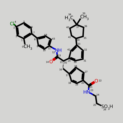 Cc1cc(Cl)ccc1-c1ccc(NC(=O)[C@@H](Cc2ccc(C(=O)NCCS(=O)(=O)O)cc2)c2cccc(C3CCC(C)(C)CC3)c2)cc1